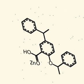 CC(Oc1ccc(C(C)c2ccccc2)cc1C(=O)O)c1ccccc1.[Zn]